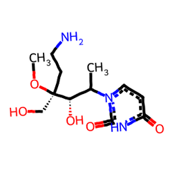 CO[C@@](CO)(CCN)[C@@H](O)C(C)n1ccc(=O)[nH]c1=O